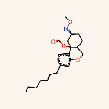 CCCCCCCc1ccc2c(c1)OCC1CCC(=NOC)CC21OC=O